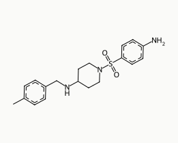 Cc1ccc(CNC2CCN(S(=O)(=O)c3ccc(N)cc3)CC2)cc1